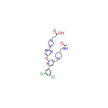 CC(=O)NCC1CCN(Cc2cc(Oc3cnc(N4CCN(CCC(=O)O)CC4)nc3)nc(-c3cc(Cl)cc(Cl)c3)c2)CC1